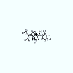 Cc1ccc(Nc2nc(C)nc3c(C(C4CC4)C4CC4)cnn23)c(C)c1